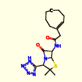 CC1(C)SC2C(NC(=O)CC3=CCCCCCC3)C(=O)N2C1c1nnn[nH]1